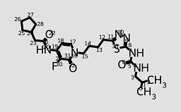 CC(C)CNC(=O)Nc1nnc(CCCCn2ccc(NC(=O)CC3CCCC3)c(F)c2=O)s1